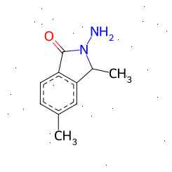 Cc1ccc2c(c1)C(C)N(N)C2=O